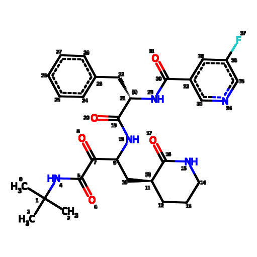 CC(C)(C)NC(=O)C(=O)C(C[C@@H]1CCCNC1=O)NC(=O)[C@H](Cc1ccccc1)NC(=O)c1cncc(F)c1